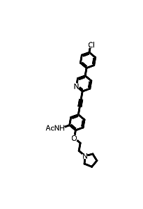 CC(=O)Nc1cc(C#Cc2ccc(-c3ccc(Cl)cc3)cn2)ccc1OCCN1CCCC1